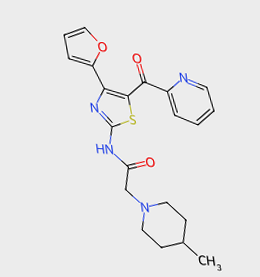 CC1CCN(CC(=O)Nc2nc(-c3ccco3)c(C(=O)c3ccccn3)s2)CC1